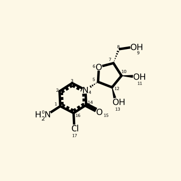 Nc1ccn([C@@H]2O[C@H](CO)[C@@H](O)[C@H]2O)c(=O)c1Cl